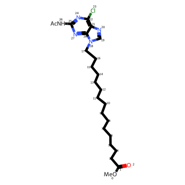 COC(=O)CCCCCCCCCCCCCCCn1cnc2c(Cl)nc(NC(C)=O)nc21